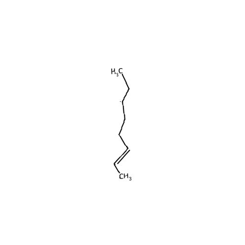 CC=CCC[CH]CC